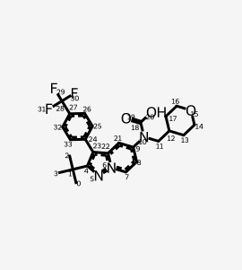 CC(C)(C)c1nn2ccc(N(CC3CCOCC3)C(=O)O)cc2c1-c1ccc(C(F)(F)F)cc1